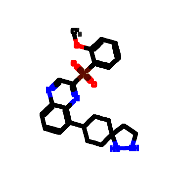 O=S(=O)(c1cnc2cccc(C3CCC4(CCNN4)CC3)c2n1)c1ccccc1OC(F)(F)F